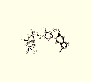 Cc1c[nH]c2nc(=O)n([C@@H]3O[C@H](COP(=O)(O)OP(=O)(O)OP(=O)(O)O)C(O)[C@@H]3O)cc12